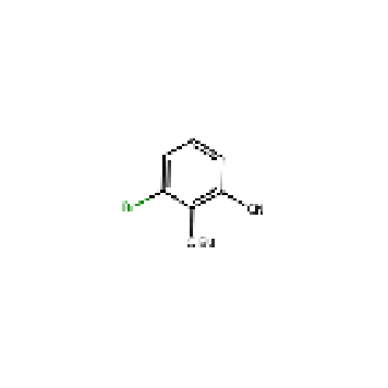 CC(C)COc1c(Br)cccc1C#N